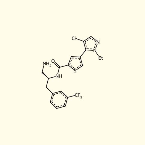 CCn1ncc(Cl)c1-c1csc(C(=O)N[C@H](CN)Cc2cccc(C(F)(F)F)c2)c1